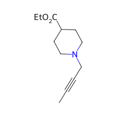 CC#CCN1CCC(C(=O)OCC)CC1